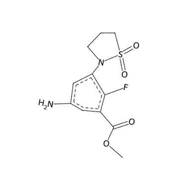 COC(=O)c1cc(N)cc(N2CCCS2(=O)=O)c1F